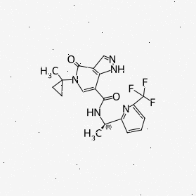 C[C@@H](NC(=O)c1cn(C2(C)CC2)c(=O)c2cn[nH]c12)c1cccc(C(F)(F)F)n1